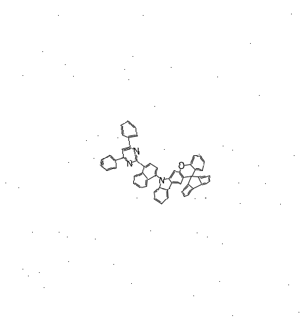 c1ccc(-c2cc(-c3ccccc3)nc(-c3ccc(-n4c5ccccc5c5cc6c(cc54)Oc4ccccc4C64c5ccccc5-c5ccccc54)c4ccccc34)n2)cc1